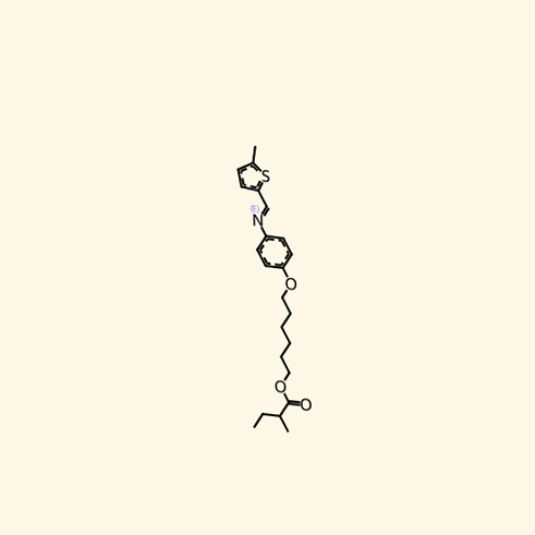 CCC(C)C(=O)OCCCCCCOc1ccc(/N=C/c2ccc(C)s2)cc1